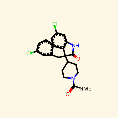 CNC(=O)N1CCC(C2(Cc3cccc(Cl)c3)C(=O)Nc3cc(Cl)ccc32)CC1